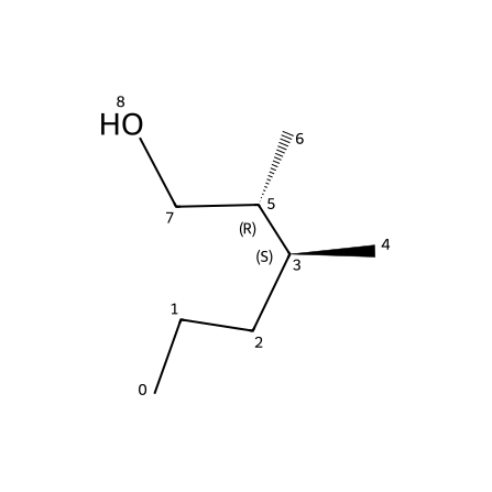 CCC[C@H](C)[C@@H](C)CO